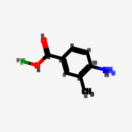 Cc1cc(C(=O)OF)ccc1N